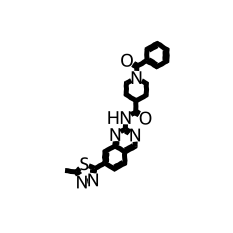 Cc1nnc(-c2ccc3cnc(NC(=O)C4CCN(C(=O)c5ccccc5)CC4)nc3c2)s1